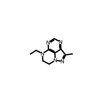 CCN1CCn2nc(C)c3ncnc1c32